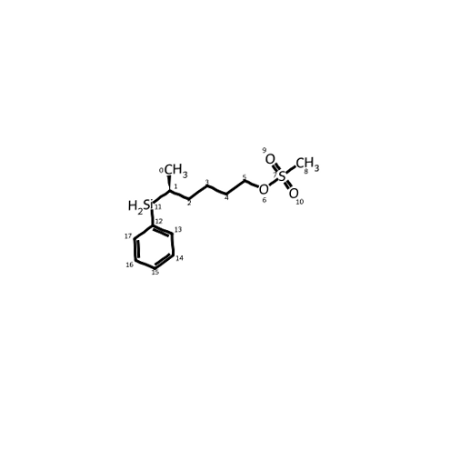 C[C@@H](CCCCOS(C)(=O)=O)[SiH2]c1ccccc1